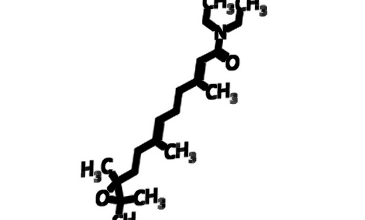 CCN(CC)C(=O)/C=C(\C)CC/C=C(\C)CCC1(C)OC1(C)C